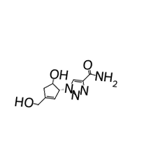 NC(=O)c1cn([C@@H]2C=C(CO)CC2O)nn1